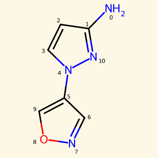 Nc1ccn(-c2cnoc2)n1